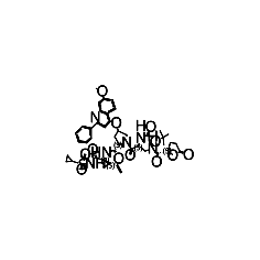 C=C[C@@H]1C[C@]1(NC(=O)[C@@H]1CC(Oc2cc(-c3ccccc3)nc3cc(OC)ccc23)CN1C(=O)[C@H](CNC(=O)[C@@H]1CCC(=O)O1)NC(=O)OC(C)(C)C)C(=O)NS(=O)(=O)C1CC1